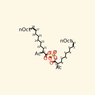 CCCCCCCC/C=C\CCCCCCC(C(C)=O)C(=O)OS(=O)(=O)OC(=O)C(CCCCCC/C=C\CCCCCCCC)C(C)=O